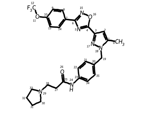 Cc1cc(-c2nc(-c3ccc(OC(F)(F)F)cc3)no2)nn1Cc1ccc(NC(=O)CCN2CCCC2)cc1